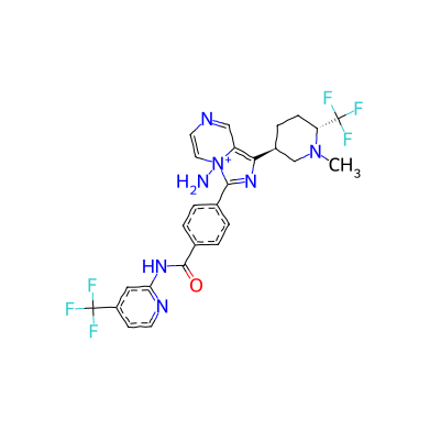 CN1C[C@@H](C2=C3C=NC=C[N+]3(N)C(c3ccc(C(=O)Nc4cc(C(F)(F)F)ccn4)cc3)=N2)CC[C@@H]1C(F)(F)F